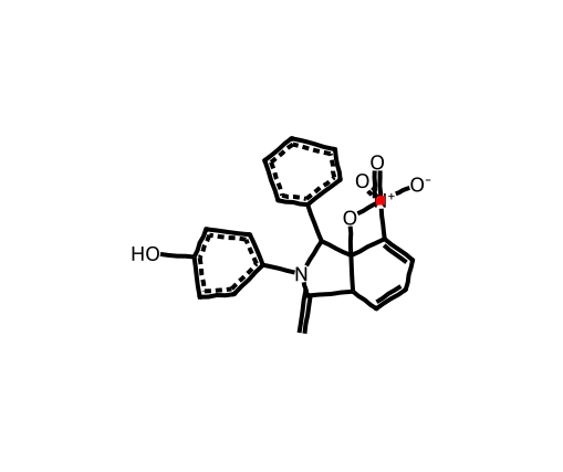 C=C1C2C=CC=C([N+](=O)[O-])C2(OC=O)C(c2ccccc2)N1c1ccc(O)cc1